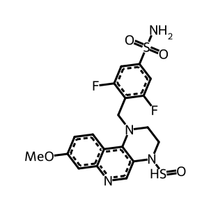 COc1ccc2c3c(cnc2c1)N([SH]=O)CCN3Cc1c(F)cc(S(N)(=O)=O)cc1F